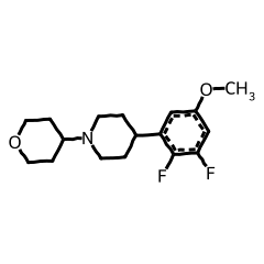 COc1cc(F)c(F)c(C2CCN(C3CCOCC3)CC2)c1